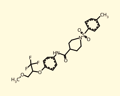 COCC(Oc1ccc(NC(=O)C2CCN(S(=O)(=O)c3ccc(C)cc3)CC2)cc1)C(F)(F)F